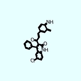 C=C1C=C(/C=C/C(=O)c2c(-c3ccccc3)c3cc(Cl)ccc3[nH]c2=O)C=CC1=N